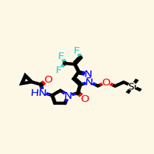 C[Si](C)(C)CCOCn1nc(C(=CF)C(F)F)cc1C(=O)N1CCC(NC(=O)C2CC2)C1